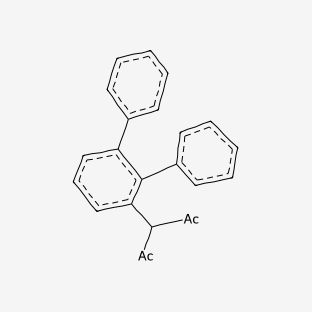 CC(=O)C(C(C)=O)c1cccc(-c2ccccc2)c1-c1ccccc1